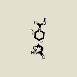 COC(=O)N1CC[C@H](c2cc(=O)[nH]o2)C[C@@H]1C